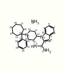 CCCC(N)c1nc2ccccc2n1C1CCN(C2(c3ccccc3)CCCCCC2)CC1.N